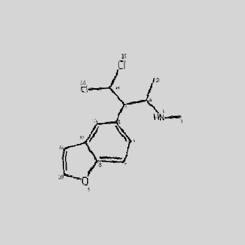 CNC(C)C(c1ccc2occc2c1)C(Cl)Cl